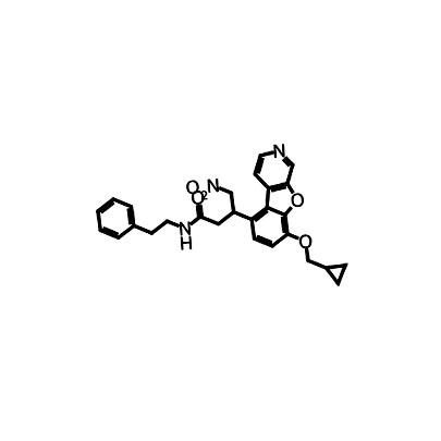 O=C(CC(C[N+](=O)[O-])c1ccc(OCC2CC2)c2oc3cnccc3c12)NCCc1ccccc1